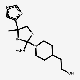 CC(=O)NC1(N2CCC(CCO)CC2)NC(C)(c2cncs2)CS1